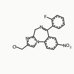 O=[N+]([O-])c1ccc2c(c1)C(c1ccccc1F)=NCc1nc(CCl)cn1-2